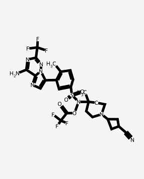 Cc1ccc(S(=O)(=O)N(OC(=O)C(F)(F)F)C2(C)CCN(C3CC(C#N)C3)CC2)cc1-c1cnc2c(N)nc(C(F)(F)F)nn12